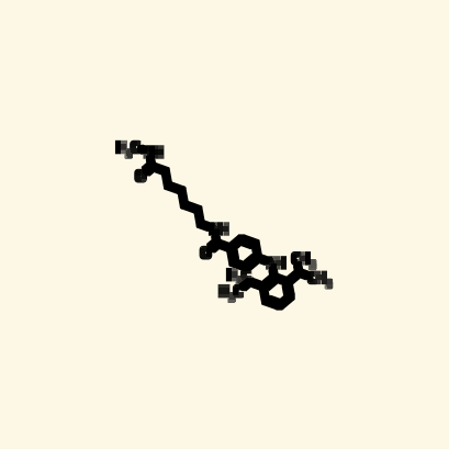 CNC(=O)CCCCCCNC(=O)c1ccc(Nc2c(C(C)C)cccc2C(C)C)cc1